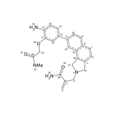 C=C(CN1Cc2ccc3ccc(-c4ccc(N)c(OCC(=O)NC)c4)cc3c2C1)C(N)=O